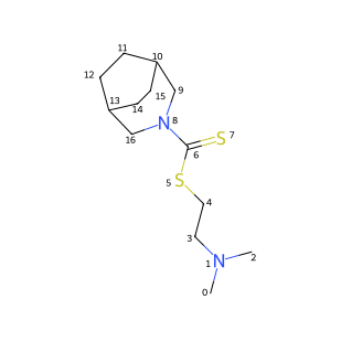 CN(C)CCSC(=S)N1CC2CCC(CC2)C1